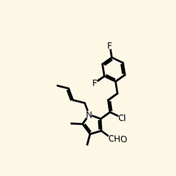 CC=CCn1c(C)c(C)c(C=O)c1C(Cl)=CCc1ccc(F)cc1F